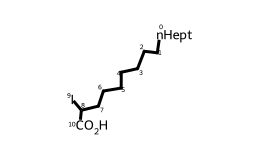 CCCCCCCCCCCCCCC(I)C(=O)O